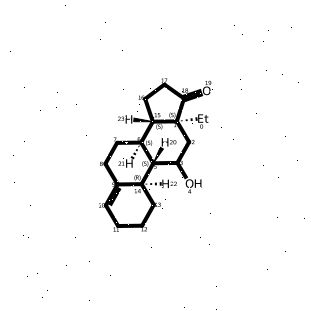 CC[C@]12CC(O)[C@H]3[C@@H](CCC4=CCCC[C@@H]43)[C@@H]1CCC2=O